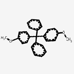 COc1ccc(C(c2ccccc2)(c2ccccc2)c2ccc(OC)cc2)cc1